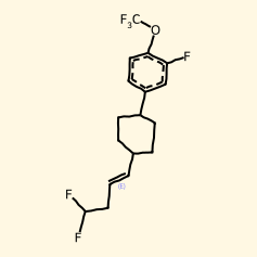 Fc1cc(C2CCC(/C=C/CC(F)F)CC2)ccc1OC(F)(F)F